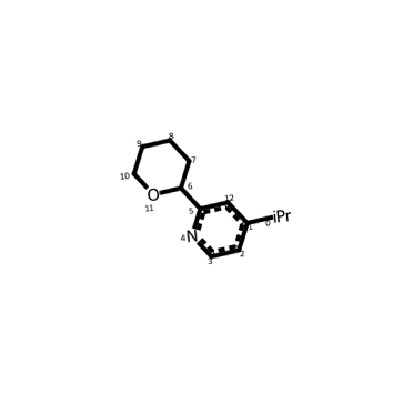 CC(C)c1ccnc(C2CCCCO2)c1